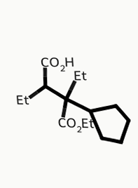 CCOC(=O)C(CC)(C1CCCC1)C(CC)C(=O)O